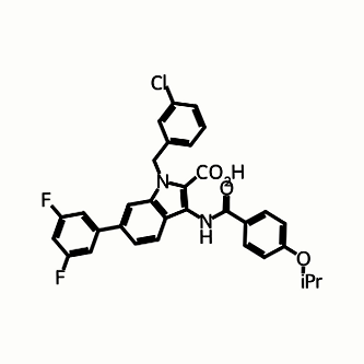 CC(C)Oc1ccc(C(=O)Nc2c(C(=O)O)n(Cc3cccc(Cl)c3)c3cc(-c4cc(F)cc(F)c4)ccc23)cc1